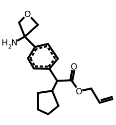 C=CCOC(=O)C(c1ccc(C2(N)COC2)cc1)C1CCCC1